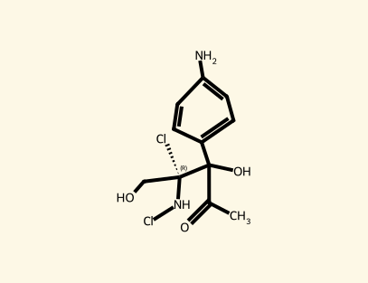 CC(=O)C(O)(c1ccc(N)cc1)[C@](Cl)(CO)NCl